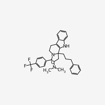 CN(C)CCC1(CCCc2ccccc2)c2[nH]c3ccccc3c2CCN1C(=O)c1ccc(C(F)(F)F)cc1